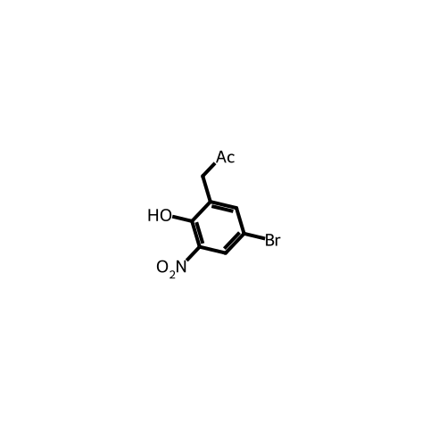 CC(=O)Cc1cc(Br)cc([N+](=O)[O-])c1O